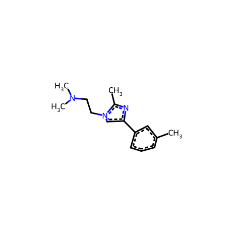 Cc1cccc(-c2cn(CCN(C)C)c(C)n2)c1